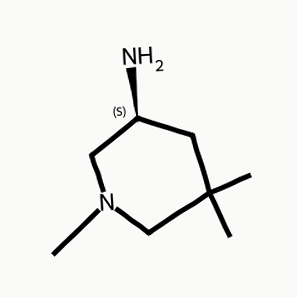 CN1C[C@@H](N)CC(C)(C)C1